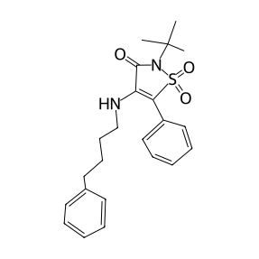 CC(C)(C)N1C(=O)C(NCCCCc2ccccc2)=C(c2ccccc2)S1(=O)=O